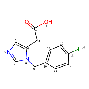 O=C(O)Cc1cncn1Cc1ccc(F)cc1